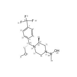 COC[C@H](c1ccc(C(F)(F)F)cc1)N1CCN(B(C)O)C[C@@H]1C